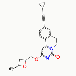 CC(C)[C@H]1CC(COc2cc3n(c(=O)n2)CCc2cc(C#CC4CC4)ccc2-3)O1